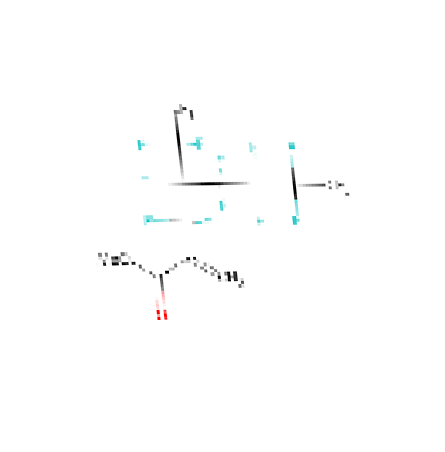 C=C(C(=O)OC)C(F)(F)C(F)(C(F)(F)C(F)(F)F)C(F)(F)C(F)(F)C(F)(F)C(F)(F)F